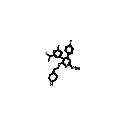 Cc1cc(-c2c(OCCN3CCNCC3)nc(N)nc2-c2ccc(F)cc2)cc(C(F)F)n1.Cl